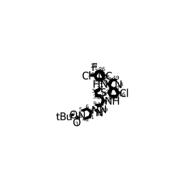 CC(C)(C)OC(=O)N1CCC(n2cc([C@@H](Nc3cc(Cl)c4ncc(C#N)c(Nc5ccc(F)c(Cl)c5)c4c3)c3cccs3)nn2)CC1